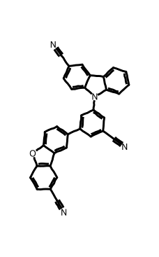 N#Cc1cc(-c2ccc3oc4ccc(C#N)cc4c3c2)cc(-n2c3ccccc3c3cc(C#N)ccc32)c1